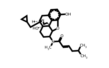 CC(C)CC=CC(=O)N(C)C1CC[C@@]2(O)[C@H]3Cc4ccc(O)c5c4[C@@]2(CCN3CC2CC2)C1O5